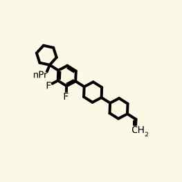 C=CC1CCC(C2CCC(c3ccc(C4(CCC)CCCCC4)c(F)c3F)CC2)CC1